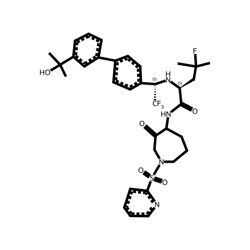 CC(C)(F)C[C@H](N[C@@H](c1ccc(-c2cccc(C(C)(C)O)c2)cc1)C(F)(F)F)C(=O)NC1CCCN(S(=O)(=O)c2ccccn2)CC1=O